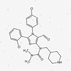 CN(C)C(=O)N(CC1CCNCC1)c1nc(-c2ccccc2Cl)n(-c2ccc(Cl)cc2)c1C=O